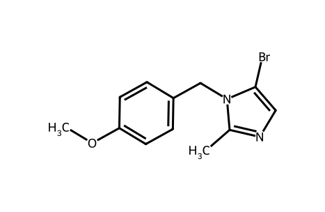 COc1ccc(Cn2c(Br)cnc2C)cc1